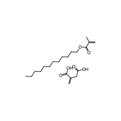 C=C(C)C(=O)OCCCCCCCCCCCC.C=C(CC(=O)O)C(=O)O